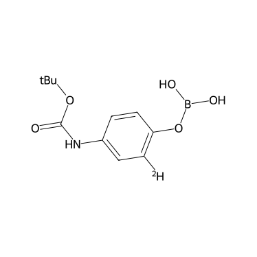 [2H]c1cc(NC(=O)OC(C)(C)C)ccc1OB(O)O